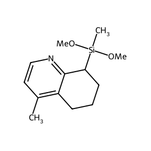 CO[Si](C)(OC)C1CCCc2c(C)ccnc21